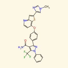 Cn1cnc(-c2cc3nccc(Oc4ccc(-c5nn(-c6ccccc6)c(C(F)(F)F)c5C(N)=O)cc4)c3s2)c1